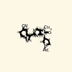 CC(=O)N1CCC(n2c(=O)n(C)c3cnc(-c4cnn5ccc(C#N)cc45)nc32)C1